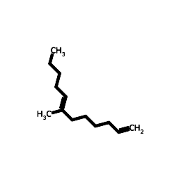 C=CCCCCC(C)=CCCCC